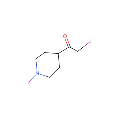 O=C(CI)C1CCN(I)CC1